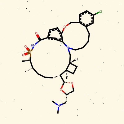 C[C@@H]1[C@@H](C)CCC[C@@H]([C@@H]2OC[C@H](CN(C)C)O2)[C@@H]2CC[C@H]2CN2CCCCc3cc(Cl)ccc3COc3ccc(cc32)C(=O)NS1(=O)=O